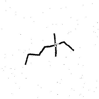 CCCC[N+](C)(C)CC